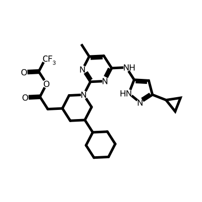 Cc1cc(Nc2cc(C3CC3)n[nH]2)nc(N2CC(CC(=O)OC(=O)C(F)(F)F)CC(C3CCCCC3)C2)n1